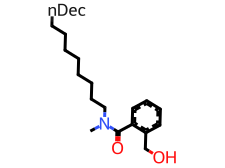 CCCCCCCCCCCCCCCCCCN(C)C(=O)c1ccccc1CO